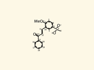 COc1ccc(S(C)(=O)=O)cc1C=CC(=O)c1ccccc1